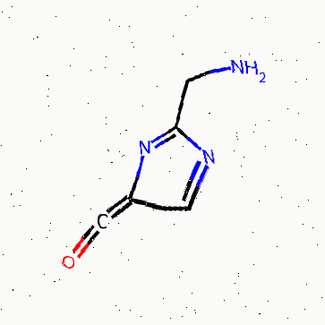 NCC1=NC(=C=O)C=N1